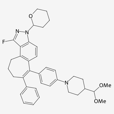 COC(OC)C1CCN(c2ccc(C3=C(c4ccccc4)CCCc4c3ccc3c4c(F)nn3C3CCCCO3)cc2)CC1